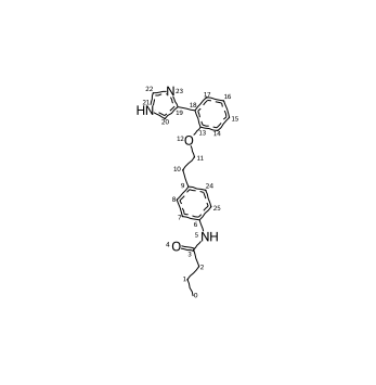 CCCC(=O)Nc1ccc(CCOc2ccccc2-c2c[nH]cn2)cc1